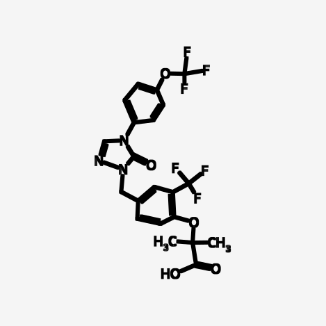 CC(C)(Oc1ccc(Cn2ncn(-c3ccc(OC(F)(F)F)cc3)c2=O)cc1C(F)(F)F)C(=O)O